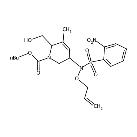 C=CCON(C1C=C(C)C(CO)N(C(=O)OCCCC)C1)S(=O)(=O)c1ccccc1[N+](=O)[O-]